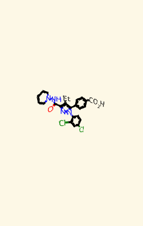 CCc1c(C(=O)NN2CCCCC2)nn(-c2ccc(Cl)cc2Cl)c1-c1ccc(C(=O)O)cc1